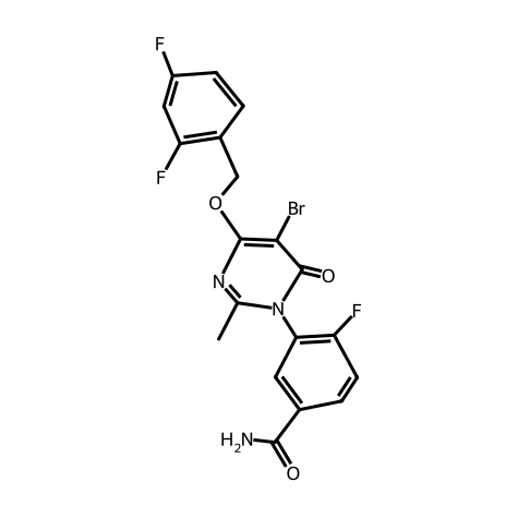 Cc1nc(OCc2ccc(F)cc2F)c(Br)c(=O)n1-c1cc(C(N)=O)ccc1F